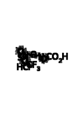 Cl.O=C(O)[C@H]1CCCN(CCOCCN2c3ccccc3Sc3ccc(C(F)(F)F)cc32)C1